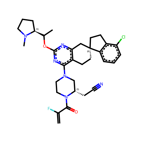 C=C(F)C(=O)N1CCN(c2nc(OC(C)[C@@H]3CCCN3C)nc3c2CC[C@@]2(CCc4c(Cl)cccc42)C3)C[C@@H]1CC#N